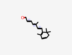 CC1=C(/C=C/C(C)=C/C=C/C=O)C(C)(C)CC=C1